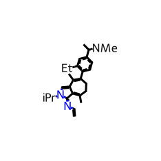 C=C/N=C1\C2=C(C)CCC(c3ccc(C(C)NC)cc3CC)=C(C)C2=CN1C(C)C